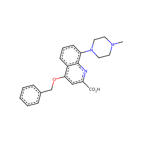 CN1CCN(c2cccc3c(OCc4ccccc4)cc(C(=O)O)nc23)CC1